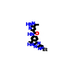 CCn1cc2ncc(N[C@@H](C)c3cccc(NC(=O)c4cnc5[nH]nc(C)c5c4)c3)nc2n1